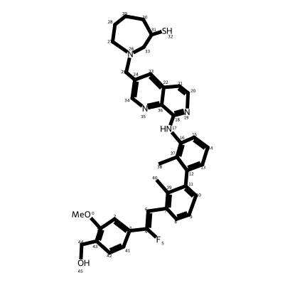 COc1cc(/C(F)=C/c2cccc(-c3cccc(Nc4nccc5cc(CN6CCCCC(S)C6)cnc45)c3C)c2C)ccc1CO